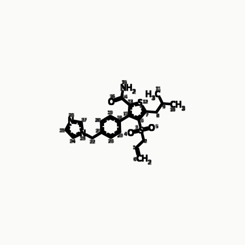 C=CCS(=O)(=O)c1c(CC(C)C)sc(C(N)=O)c1-c1ccc(Cn2ccnc2)cc1